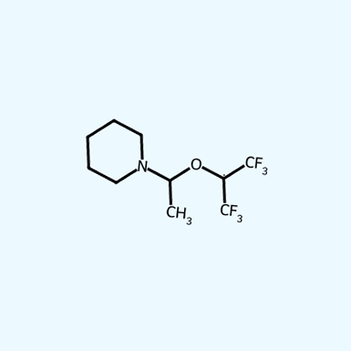 CC(O[C](C(F)(F)F)C(F)(F)F)N1CCCCC1